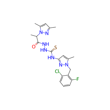 Cc1cc(C)n(C(C)C(=O)NNC(=S)Nc2cc(C)n(Cc3c(F)cccc3Cl)n2)n1